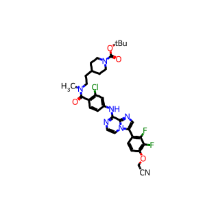 CN(CCC1CCN(C(=O)OC(C)(C)C)CC1)C(=O)c1ccc(Nc2nccn3c(-c4ccc(OCC#N)c(F)c4F)cnc23)cc1Cl